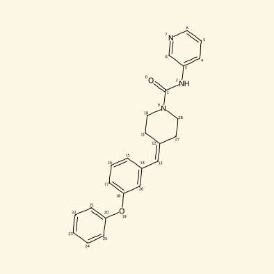 O=C(Nc1cccnc1)N1CCC(=Cc2cccc(Oc3ccccc3)c2)CC1